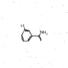 C=C(N)c1cccc(CC)c1